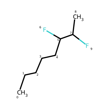 CCCC[CH]C(F)C(C)F